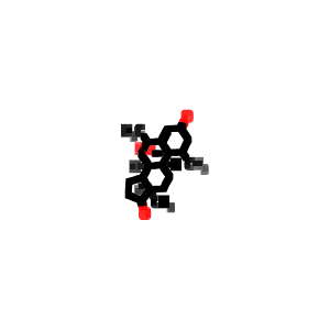 CC1C[C@@H]2[C@@H](CC[C@]3(C)C(=O)CC[C@@H]23)[C@]2(CO)C1=CC(=O)CC2C